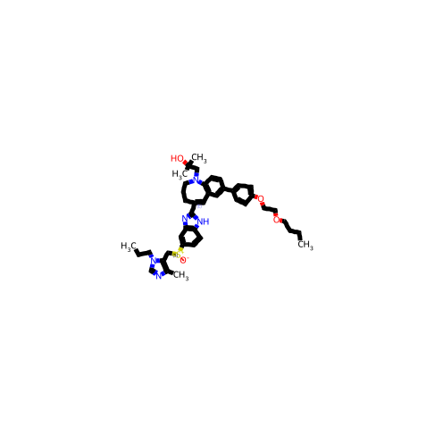 CCCCOCCOc1ccc(-c2ccc3c(c2)/C=C(/c2nc4cc([S@+]([O-])Cc5c(C)ncn5CCC)ccc4[nH]2)CCCN3CC(C)(C)O)cc1